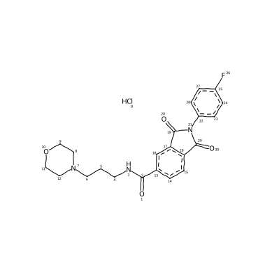 Cl.O=C(NCCCN1CCOCC1)c1ccc2c(c1)C(=O)N(c1ccc(F)cc1)C2=O